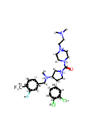 CN(C)CCN1CCN(C(=O)N2C[C@H](c3ccc(Cl)c(Cl)c3)[C@@H](N(C)Cc3ccc(C(F)(F)F)c(F)c3)C2)CC1